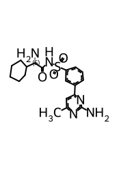 Cc1cc(-c2cccc(S(=O)(=O)NC(=O)[C@@H](N)C3CCCCC3)c2)nc(N)n1